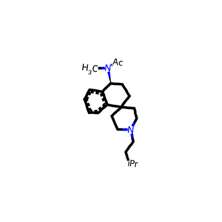 CC(=O)N(C)[C@H]1CCC2(CCN(CCC(C)C)CC2)c2ccccc21